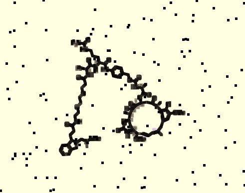 CNN(C)CC1=Cc2ccccc2C1CCC(=O)NCCOCCOCCC(=O)N[C@H](C(=O)N[C@@H](CCCNC(N)=O)C(=O)Nc1ccc(COC(=O)N[C@@H](C)C(=O)O[C@H]2CC(=O)N(C)c3cc(cc(OC)c3Cl)C/C(C)=C/C=C/[C@@H](OC)[C@@]3(O)C[C@H](OC(=O)N3)[C@@H](C)[C@@H]3O[C@@]23C)cc1)C(C)C